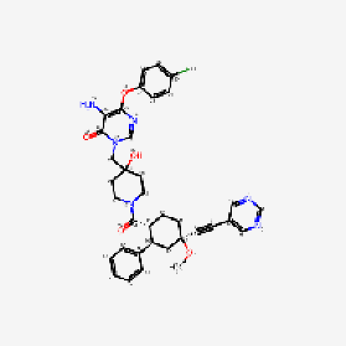 CO[C@]1(C#Cc2cncnc2)CC[C@@H](C(=O)N2CCC(O)(Cn3cnc(Oc4ccc(F)cc4)c(N)c3=O)CC2)[C@H](c2ccccc2)C1